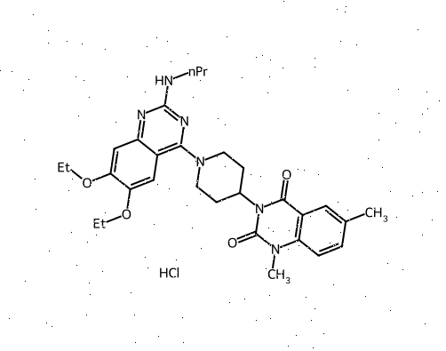 CCCNc1nc(N2CCC(n3c(=O)c4cc(C)ccc4n(C)c3=O)CC2)c2cc(OCC)c(OCC)cc2n1.Cl